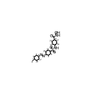 Cc1ccc(N=Nc2ccc(S(=O)(=O)Nc3ccc(C(=O)NO)cc3)cc2)cc1